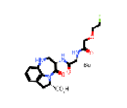 CC[C@H](C)[C@H](NC(=O)COCCF)C(=O)N[C@H]1CNc2cccc3c2N(C1=O)[C@H](C(=O)O)C3